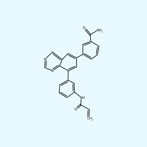 C=CC(=O)Nc1cccc(-c2cc(-c3cccc(C(N)=O)c3)cc3cncnc23)c1